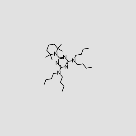 CCCCN(CCCC)c1nc(N(CCCC)CCCC)nc(N2C(C)(C)CCCC2(C)C)n1